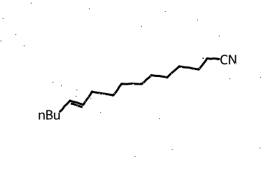 CCCCC=CCCCCCCCC[CH]C#N